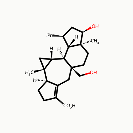 CC(C)[C@H]1C[C@@H](O)[C@@]2(C)CC[C@]3(CO)CC4=C(C(=O)O)CC[C@H]4[C@]4(C)C[C@@H]4[C@H]3[C@H]12